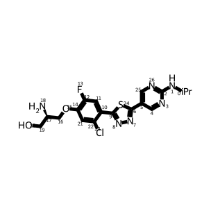 CC(C)Nc1ncc(-c2nnc(-c3cc(F)c(OC[C@H](N)CO)cc3Cl)s2)cn1